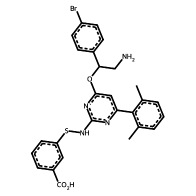 Cc1cccc(C)c1-c1cc(OC(CN)c2ccc(Br)cc2)nc(NSc2cccc(C(=O)O)c2)n1